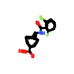 O=C(O)c1ccc(CNC(=O)c2c(F)cccc2F)cc1